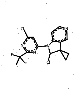 CC(F)(F)c1nc(Cl)cc(N2c3ccncc3C3(CC3)C2Cl)n1